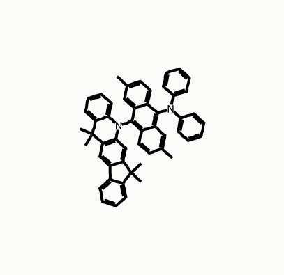 Cc1ccc2c(N3c4ccccc4C(C)(C)c4cc5c(cc43)C(C)(C)c3ccccc3-5)c3cc(C)ccc3c(N(c3ccccc3)c3ccccc3)c2c1